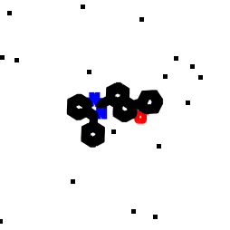 c1ccc(-c2nc(-c3cccc4c3ccc3oc5ccccc5c34)nc3ccccc23)cc1